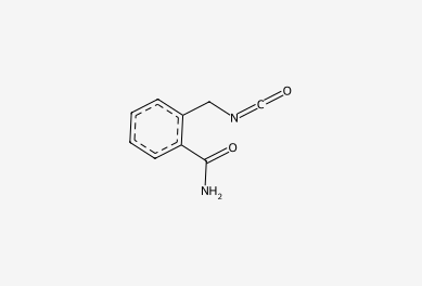 NC(=O)c1ccccc1CN=C=O